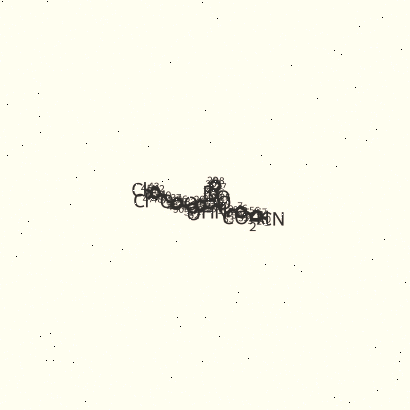 N#Cc1ccc(-c2ccc(CC(NC(=O)C3Cc4cc5c(cc4CN3C(=O)c3ccccc3F)OC(c3ccc(OCc4ccc(Cl)c(Cl)c4)cc3)CO5)C(=O)O)cc2)cc1